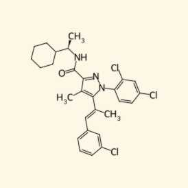 C/C(=C\c1cccc(Cl)c1)c1c(C)c(C(=O)N[C@H](C)C2CCCCC2)nn1-c1ccc(Cl)cc1Cl